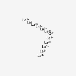 [La+3].[La+3].[La+3].[La+3].[La+3].[La+3].[La+3].[La+3].[La+3].[La+3].[La+3].[O-2]